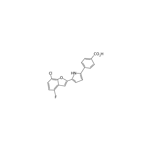 O=C(O)c1ccc(-c2ccc(-c3cc4c(F)ccc(Cl)c4o3)[nH]2)cc1